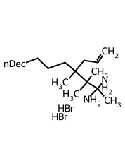 Br.Br.C=CCC(C)(CCCCCCCCCCCCC)C(C)(C)C(C)(N)N